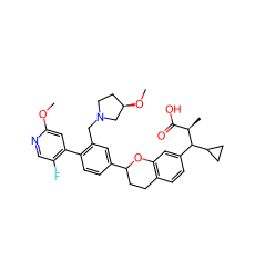 COc1cc(-c2ccc(C3CCc4ccc(C(C5CC5)[C@H](C)C(=O)O)cc4O3)cc2CN2CC[C@@H](OC)C2)c(F)cn1